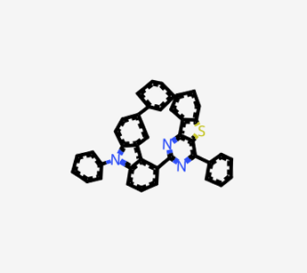 c1ccc(-c2ccc3c(c2)c2c(-c4nc(-c5ccccc5)c5sc6ccccc6c5n4)cccc2n3-c2ccccc2)cc1